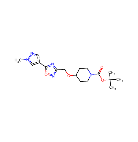 Cn1cc(-c2nc(COC3CCN(C(=O)OC(C)(C)C)CC3)no2)cn1